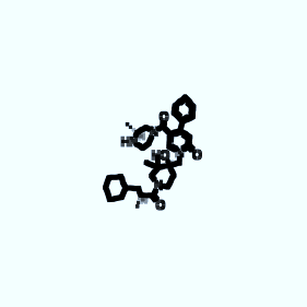 C[C@@H]1CN(C(=O)c2cn(C[C@]3(O)CCN(C(=O)[C@H](C)CC4CCCCC4)CC3(C)C)c(=O)cc2-c2ccccc2)CCN1